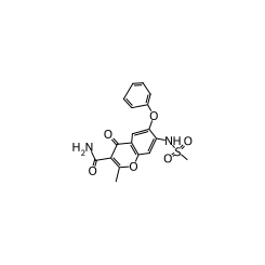 Cc1oc2cc(NS(C)(=O)=O)c(Oc3ccccc3)cc2c(=O)c1C(N)=O